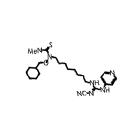 CNC(=S)N(CCCCCCCCN/C(=N\C#N)Nc1ccncc1)OCC1CCCCC1